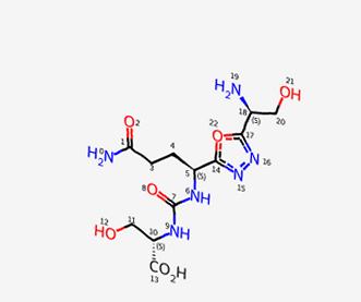 NC(=O)CC[C@H](NC(=O)N[C@@H](CO)C(=O)O)c1nnc([C@@H](N)CO)o1